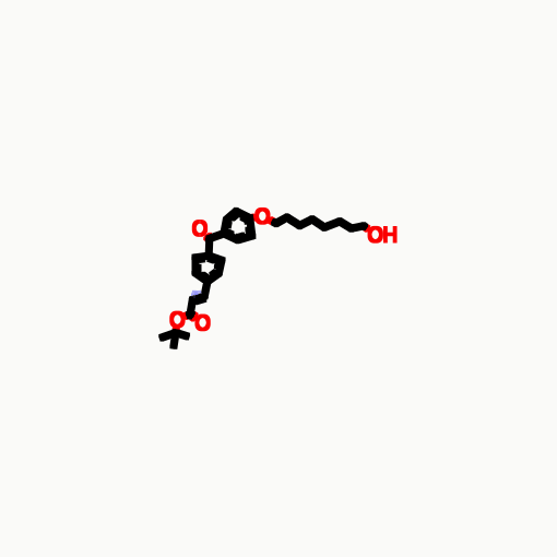 CC(C)(C)OC(=O)/C=C/c1ccc(C(=O)c2ccc(OCCCCCCCCO)cc2)cc1